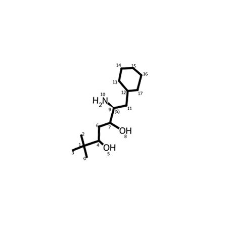 CC(C)(C)C(O)CC(O)[C@@H](N)CC1CCCCC1